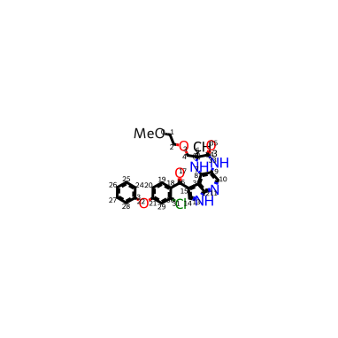 COCCOC[C@@]1(C)Nc2c(cnc3[nH]cc(C(=O)c4ccc(Oc5ccccc5)cc4Cl)c23)NC1=O